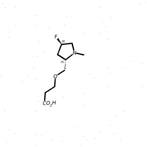 CN1C[C@H](F)C[C@H]1COCCC(=O)O